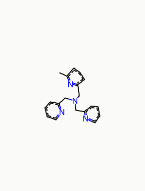 Cc1cccc(CN(Cc2ccccn2)Cc2ccccn2)n1